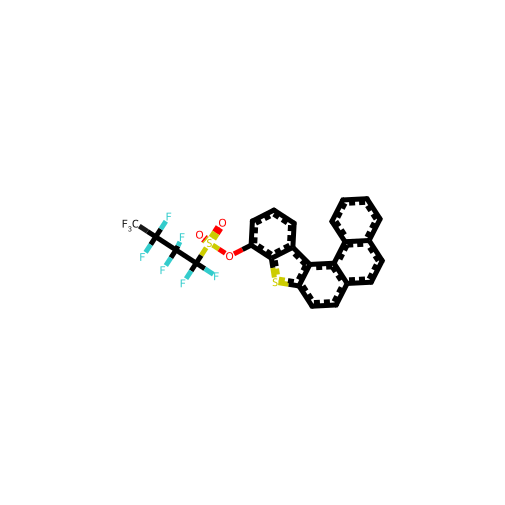 O=S(=O)(Oc1cccc2c1sc1ccc3ccc4ccccc4c3c12)C(F)(F)C(F)(F)C(F)(F)C(F)(F)F